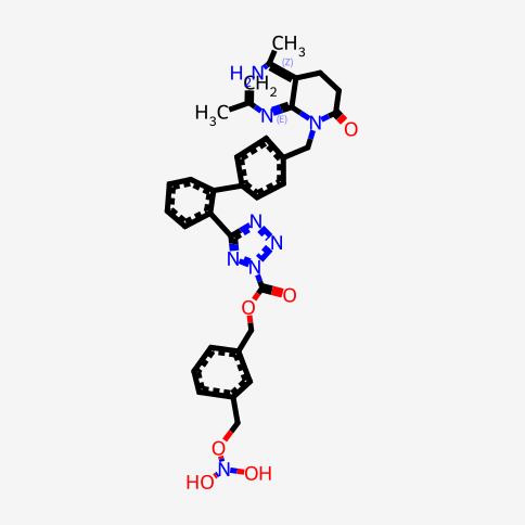 C=C(C)/N=C1\C(=C(\C)N)CCC(=O)N1Cc1ccc(-c2ccccc2-c2nnn(C(=O)OCc3cccc(CON(O)O)c3)n2)cc1